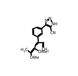 C=C/C(=C\C(OC)=C(/C)OC)c1cccc(-c2nn[nH]c2C#N)c1